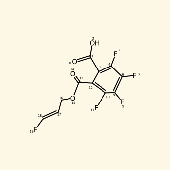 O=C(O)c1c(F)c(F)c(F)c(F)c1C(=O)OCC=CF